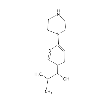 CC(C)C(O)C1C=NC(N2CCNCC2)=CC1